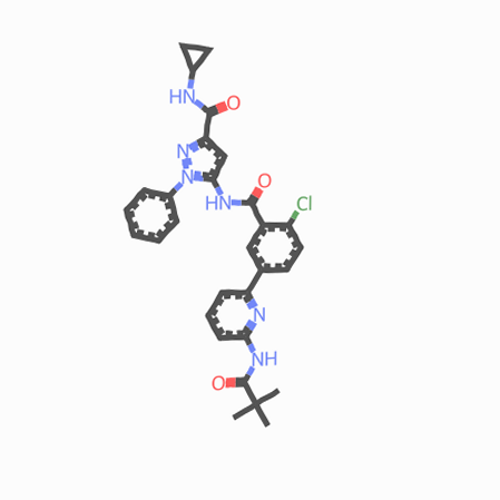 CC(C)(C)C(=O)Nc1cccc(-c2ccc(Cl)c(C(=O)Nc3cc(C(=O)NC4CC4)nn3-c3ccccc3)c2)n1